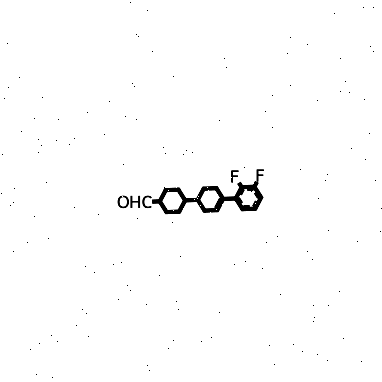 O=CC1CCC(C2CC=C(c3cccc(F)c3F)CC2)CC1